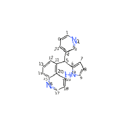 c1cncc(C(c2ccc[nH]2)c2cccc3ncccc23)c1